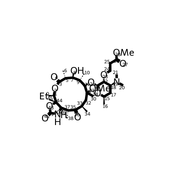 CC[C@H]1OC(=O)[C@H](C)[C@@H](O)[C@H](C)[C@@H](O[C@@H]2O[C@H](C)C[C@H](N(C)C)[C@H]2OCCC(=O)OC)[C@@](C)(OC)C[C@@H](C)C(=O)[C@H](C)[C@H]2NC(=O)O[C@@]21C